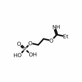 CCC(=N)OCCOP(=O)(O)O